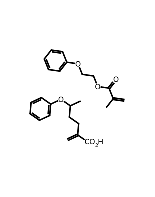 C=C(C)C(=O)OCCOc1ccccc1.C=C(CCC(C)Oc1ccccc1)C(=O)O